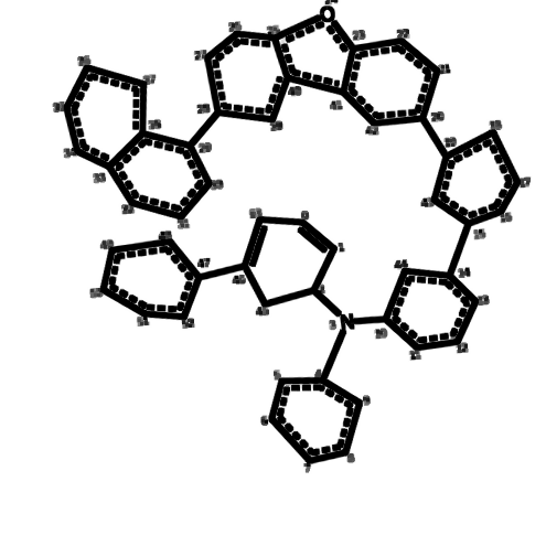 C1=CC(N(c2ccccc2)c2cccc(-c3cccc(-c4ccc5oc6ccc(-c7cccc8ccccc78)cc6c5c4)c3)c2)CC(c2ccccc2)=C1